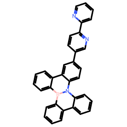 c1ccc(-c2ccc(-c3ccc4c(c3)-c3ccccc3B3c5ccccc5-c5ccccc5N34)cn2)nc1